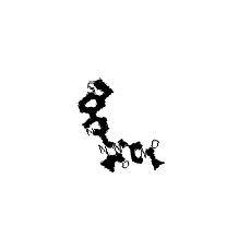 O=C(C1CC1)N1CC[C@@H](CN2C(=O)C3(CC3)N=C2c2ccc(-c3ccc4sccc4c3)cn2)C1